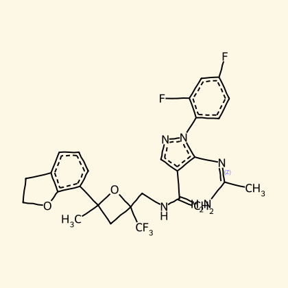 C=C(NCC1(C(F)(F)F)CC(C)(c2cccc3c2OCC3)O1)c1cnn(-c2ccc(F)cc2F)c1/N=C(/C)N